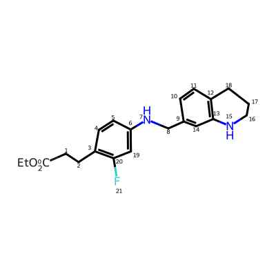 CCOC(=O)CCc1ccc(NCc2ccc3c(c2)NCCC3)cc1F